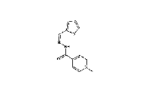 Cc1ccc(C(=O)N/N=C\c2ccco2)cc1